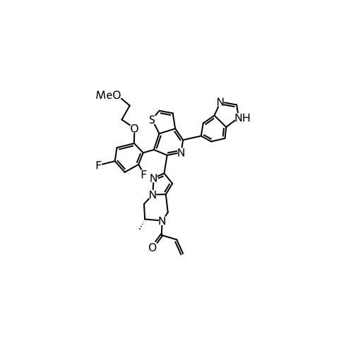 C=CC(=O)N1Cc2cc(-c3nc(-c4ccc5[nH]cnc5c4)c4ccsc4c3-c3c(F)cc(F)cc3OCCOC)nn2C[C@H]1C